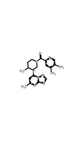 Cc1cc([C@@H]2CN(C(=O)c3cc(C)c(C)cn3)CCC2C)n2ncnc2n1